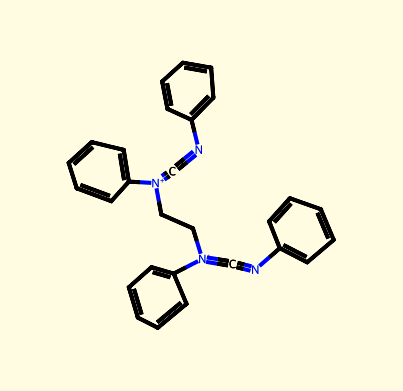 C(=Nc1ccccc1)=[N+](CC[N+](=C=Nc1ccccc1)c1ccccc1)c1ccccc1